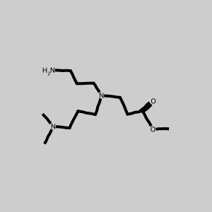 COC(=O)CCN(CCCN)CCCN(C)C